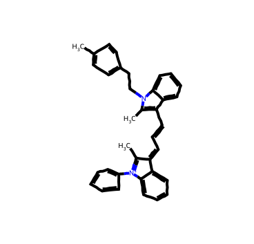 CC1=[N+](c2ccccc2)c2ccccc2/C1=C/C=C/c1c(C)n(CCc2ccc(C)cc2)c2ccccc12